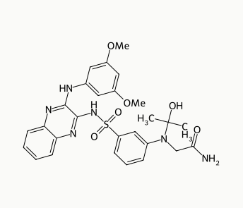 COc1cc(Nc2nc3ccccc3nc2NS(=O)(=O)c2cccc(N(CC(N)=O)C(C)(C)O)c2)cc(OC)c1